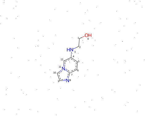 OCCNc1ccc2nccn2c1